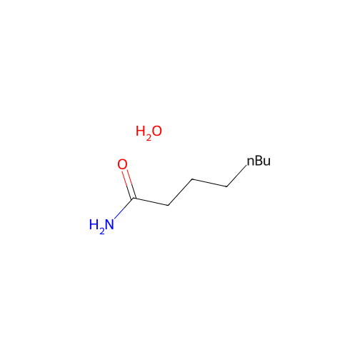 CCCCCCCC(N)=O.O